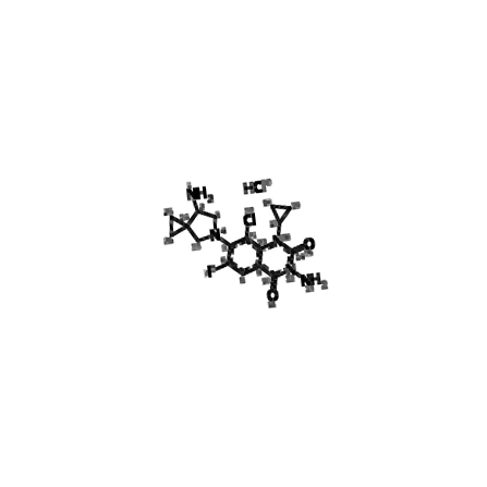 Cl.NC1CN(c2c(F)cc3c(=O)n(N)c(=O)n(C4CC4)c3c2Cl)CC12CC2